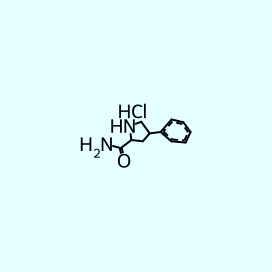 Cl.NC(=O)C1CC(c2ccccc2)CN1